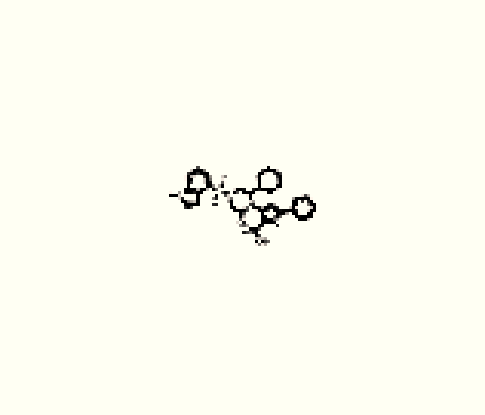 Cn1ccc2c(S(=O)(=O)N3CC(=O)N(c4cc(-c5ccccc5)sc4C(=O)O)C(C4CCCCC4)C3)cccc21